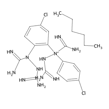 CCCCCC.N=C(N)NN(C(=N)N)c1ccc(Cl)cc1[N+](NC(=N)N)(C(=N)N)c1ccc(Cl)cc1